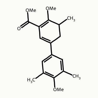 COC(=O)C1=C(OC)C(C)CC(c2cc(C)c(OC)c(C)c2)=C1